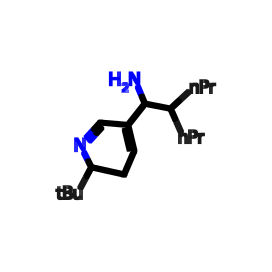 CCCC(CCC)C(N)C1=CCC(C(C)(C)C)N=C1